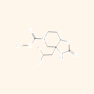 CC(C)(C)OC(=O)N1CCC2OC(=O)NC2(CC(F)F)C1